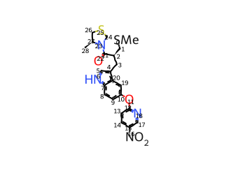 CSC[C@@H](Cc1c[nH]c2ccc(Oc3ccc([N+](=O)[O-])cn3)cc12)C(=O)N1CSC[C@@H]1C